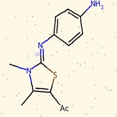 CC(=O)c1s/c(=N\c2ccc(N)cc2)n(C)c1C